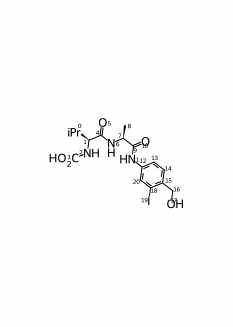 CC(C)[C@H](NC(=O)O)C(=O)N[C@@H](C)C(=O)Nc1ccc(CO)c(I)c1